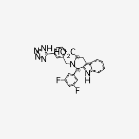 O=C(O)[C@@H]1Cc2c([nH]c3ccccc23)[C@@H](c2cc(F)cc(F)c2)N1Cc1cccc(-c2nnn[nH]2)c1